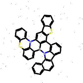 c1ccc2c(c1)Sc1cccc3c1N2c1cc2c(sc4ccccc42)c2c1B3n1c3c-2cccc3c2ccc3ccccc3c21